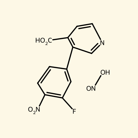 O=C(O)c1ccncc1-c1ccc([N+](=O)[O-])c(F)c1.O=NO